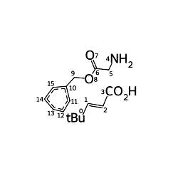 CC(C)(C)C=CC(=O)O.NCC(=O)OCc1ccccc1